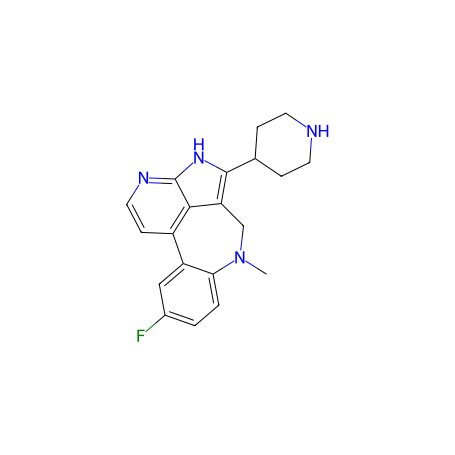 CN1Cc2c(C3CCNCC3)[nH]c3nccc(c23)-c2cc(F)ccc21